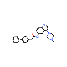 CN1CCN(c2ccnc3ccc(NC(=O)Cc4ccc(-c5ccccc5)cc4)cc23)CC1